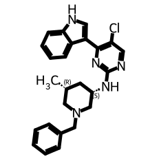 C[C@@H]1C[C@H](Nc2ncc(Cl)c(-c3c[nH]c4ccccc34)n2)CN(Cc2ccccc2)C1